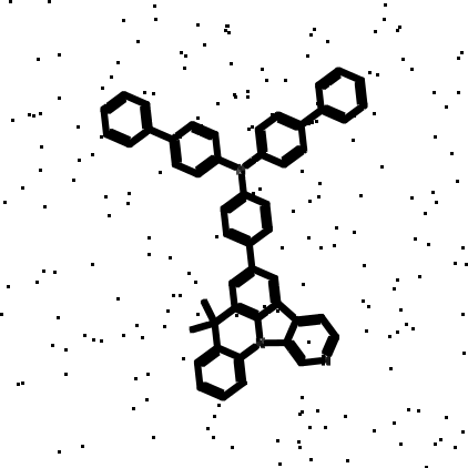 CC1(C)c2ccccc2-n2c3cnccc3c3cc(-c4ccc(N(c5ccc(-c6ccccc6)cc5)c5ccc(-c6ccccc6)cc5)cc4)cc1c32